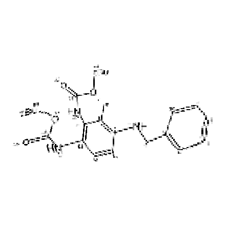 Cc1c(NCc2ccccc2)ccc(NC(=O)OC(C)(C)C)c1NC(=O)OC(C)(C)C